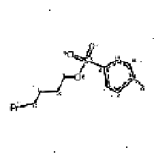 Cc1ccc(S(=O)(=O)OCCCCC(C)C)cc1